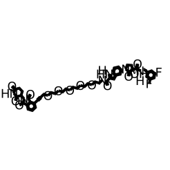 O=C1CCC(N2C(=O)c3cccc(C#CCOCCOCCOCCOCCOCCNC(=O)c4cc5cc(N6CC[C@](O)(C(=O)NCc7cc(F)cc(F)c7)C6=O)ccc5[nH]4)c3C2=O)C(=O)N1